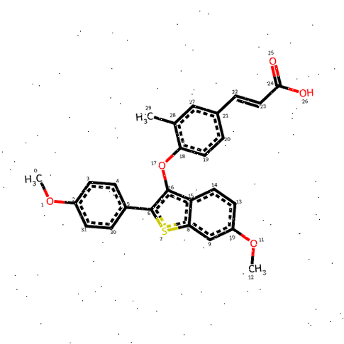 COc1ccc(-c2sc3cc(OC)ccc3c2Oc2ccc(C=CC(=O)O)cc2C)cc1